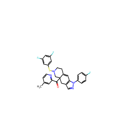 Cc1ccnc(C(=O)C23Cc4cnn(-c5ccc(F)cc5)c4C=C2CCN(Sc2cc(F)cc(F)c2)C3)c1